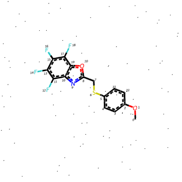 COc1ccc(SCc2nc3c(F)c(F)c(F)c(F)c3o2)cc1